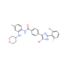 Cc1ccc(NC(=O)c2ccc(-c3nc(-c4c(F)cccc4Cl)[nH]c3Br)cc2)c(NC2CCOCC2)c1